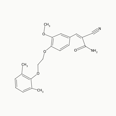 COc1cc(C=C(C#N)C(N)=O)ccc1OCCOc1c(C)cccc1C